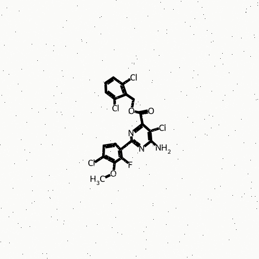 COc1c(Cl)ccc(-c2nc(N)c(Cl)c(C(=O)OCc3c(Cl)cccc3Cl)n2)c1F